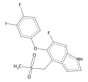 CS(=O)(=O)Cc1c(Oc2ccc(F)c(I)c2)c(F)cc2[nH]ccc12